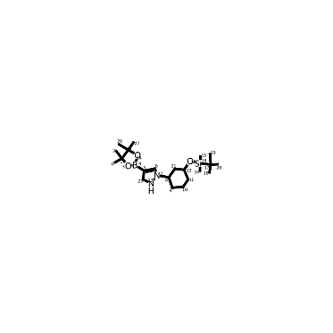 CC1(C)OB(C2=CN(C3CCCC(O[Si](C)(C)C(C)(C)C)C3)NC2)OC1(C)C